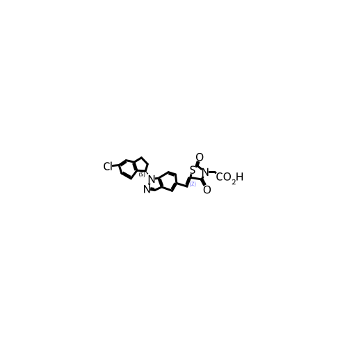 O=C(O)CN1C(=O)S/C(=C\c2ccc3c(cnn3[C@H]3CCc4cc(Cl)ccc43)c2)C1=O